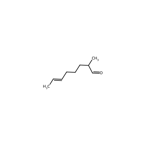 C/C=C/CCCC(C)C=O